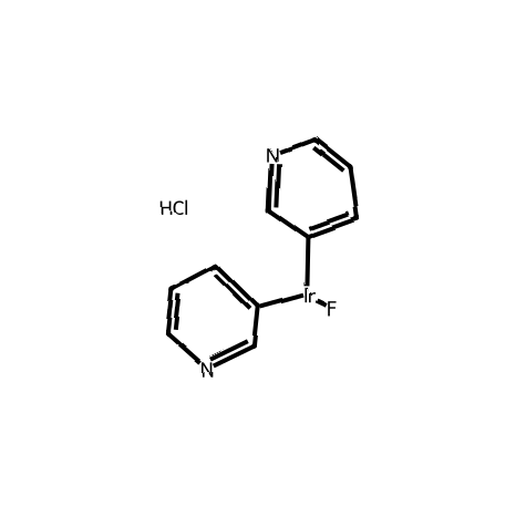 Cl.[F][Ir]([c]1cccnc1)[c]1cccnc1